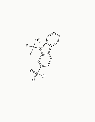 O=S(=O)([O-])c1ccc2c3ccccc3[s+](C(F)(F)C(F)(F)F)c2c1